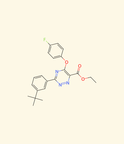 CCOC(=O)c1nnc(-c2cccc(C(C)(C)C)c2)nc1Oc1ccc(F)cc1